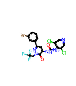 O=C(Nc1c(Cl)cncc1Cl)Nc1cc(-c2cccc(Br)c2)nn(CC(F)(F)F)c1=O